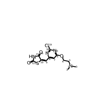 CN(C)CCOc1cc(C=C2SC(=O)NC2=O)nc(Cl)n1